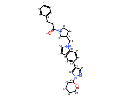 O=C(CCc1ccccc1)N1CCC(Cn2ccc3cc(-c4cnn(C5CCCCO5)c4)ccc32)C1